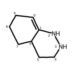 C1=C2NNCCC2CCC1